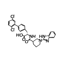 O=C(N[C@@H](Cc1ccc(-c2cc(Cl)ccc2Cl)cc1)C(=O)O)C1CCCN(c2nc3ccccc3[nH]2)C1